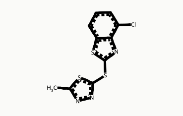 Cc1nnc(Sc2nc3c(Cl)cccc3s2)s1